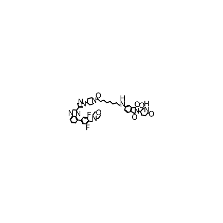 O=C1CCC(N2C(=O)c3ccc(NCCCCCCCC(=O)N4CCC(n5cc(-c6cnc7cccc(-c8cc(F)c(CN9CCOCC9)c(F)c8)c7n6)cn5)CC4)cc3C2=O)C(=O)N1